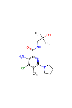 CC(O)(CNC(=O)c1nc(N2CCCC2)c(C(F)(F)F)c(Cl)c1N)C(F)(F)F